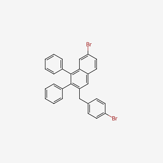 Brc1ccc(Cc2cc3ccc(Br)cc3c(-c3ccccc3)c2-c2ccccc2)cc1